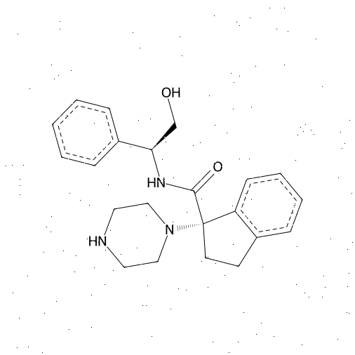 O=C(N[C@H](CO)c1ccccc1)[C@]1(N2CCNCC2)CCc2ccccc21